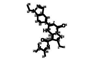 CCc1nn2c(=O)cc(-c3ccc4c(cnn4CC)c3)[nH]c2c1C(=O)N=C(C)N(C)C